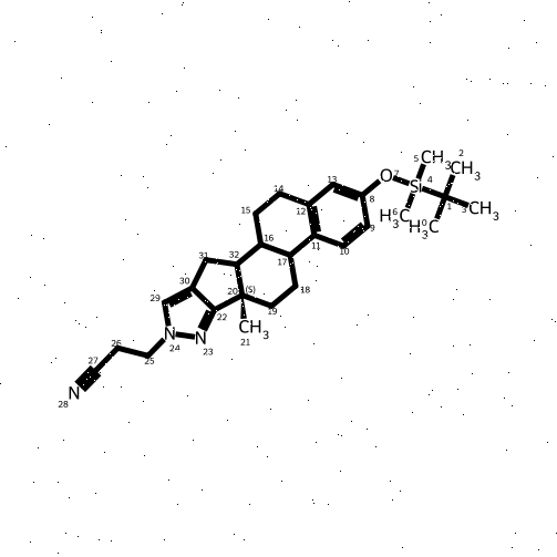 CC(C)(C)[Si](C)(C)Oc1ccc2c(c1)CCC1C2CC[C@]2(C)c3nn(CCC#N)cc3CC12